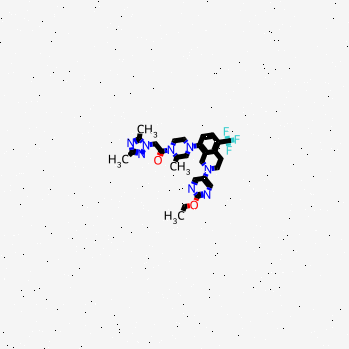 CCOc1ncc(N2CCc3c(C(F)(F)F)ccc(N4CCN(C(=O)Cn5nc(C)nc5C)C(C)C4)c3C2)cn1